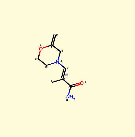 C=C1CN(/C=C(\C)C(N)=O)CCO1